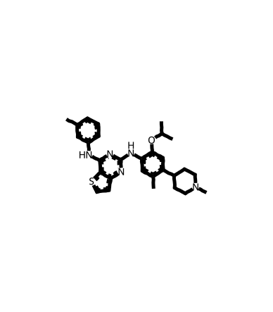 Cc1cccc(Nc2nc(Nc3cc(C)c(C4CCN(C)CC4)cc3OC(C)C)nc3ccsc23)c1